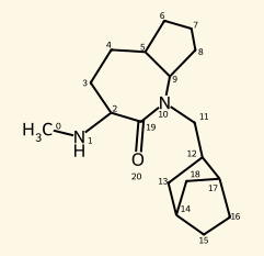 CNC1CCC2CCCC2N(CC2CC3CCC2C3)C1=O